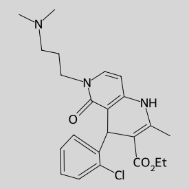 CCOC(=O)C1=C(C)Nc2ccn(CCCN(C)C)c(=O)c2C1c1ccccc1Cl